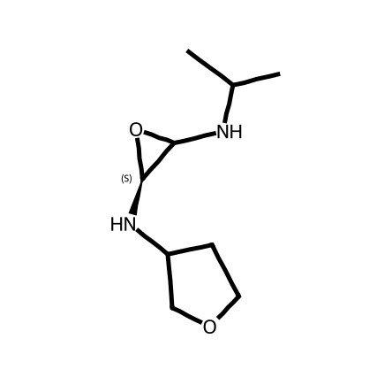 CC(C)NC1O[C@@H]1NC1CCOC1